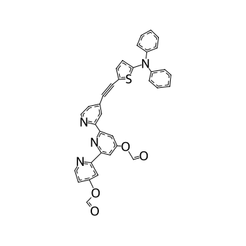 O=COc1ccnc(-c2cc(OC=O)cc(-c3cc(C#Cc4ccc(N(c5ccccc5)c5ccccc5)s4)ccn3)n2)c1